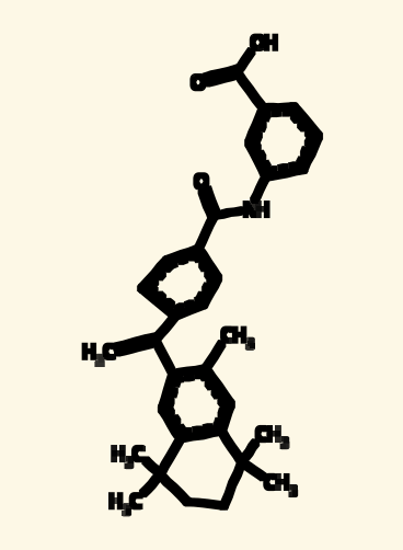 C=C(c1ccc(C(=O)Nc2cccc(C(=O)O)c2)cc1)c1cc2c(cc1C)C(C)(C)CCC2(C)C